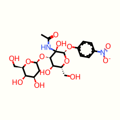 CC(=O)N[C@]1(O)[C@H](Oc2ccc([N+](=O)[O-])cc2)O[C@H](CO)[C@@H](O)[C@@H]1O[C@H]1C[C@@H](O)[C@@H](O)[C@@H](CO)O1